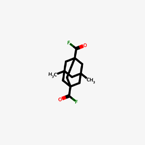 CC12CC3(C)CC(C(=O)F)(C1)CC(C(=O)F)(C2)C3